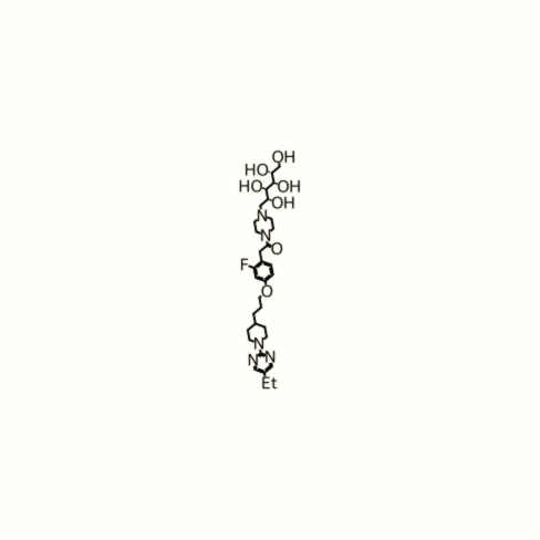 CCc1cnc(N2CCC(CCCOc3ccc(CC(=O)N4CCN(C[C@H](O)[C@@H](O)[C@H](O)[C@H](O)CO)CC4)c(F)c3)CC2)nc1